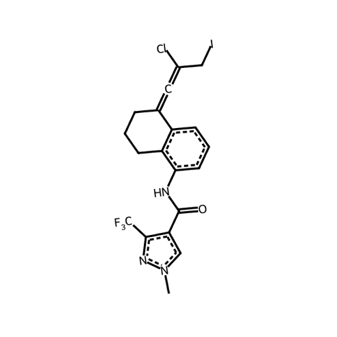 Cn1cc(C(=O)Nc2cccc3c2CCCC3=C=C(Cl)CI)c(C(F)(F)F)n1